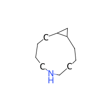 C1CCC2CC2CCCCNC1